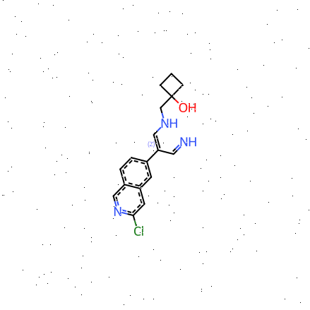 N=C/C(=C\NCC1(O)CCC1)c1ccc2cnc(Cl)cc2c1